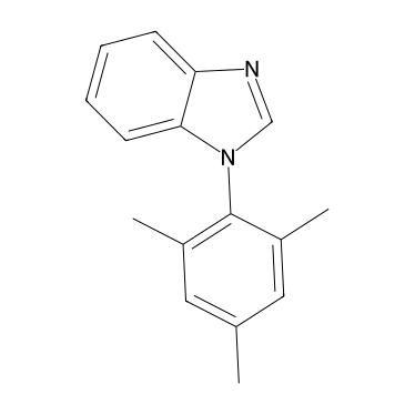 Cc1cc(C)c(-n2cnc3ccccc32)c(C)c1